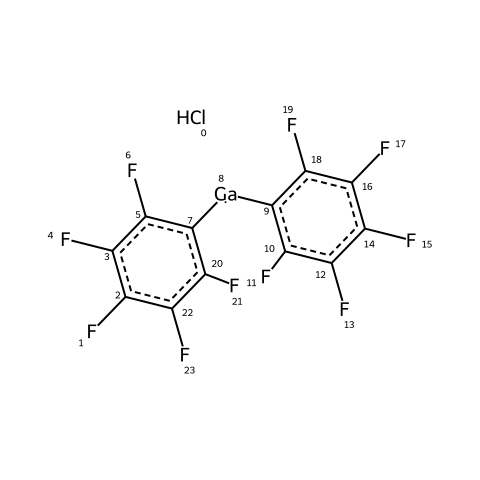 Cl.Fc1c(F)c(F)[c]([Ga][c]2c(F)c(F)c(F)c(F)c2F)c(F)c1F